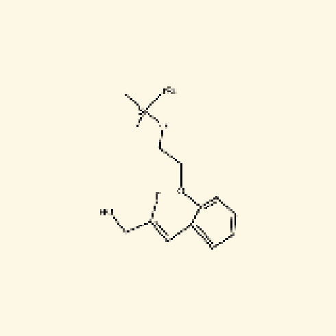 CC(C)(C)[Si](C)(C)OCCOc1ccccc1/C=C(\F)CO